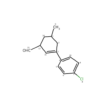 CC1CC(c2ccc(Cl)cc2)=CC(C=O)C1